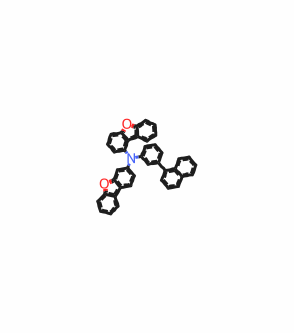 c1cc(-c2cccc3ccccc23)cc(N(c2ccc3c(c2)oc2ccccc23)c2cccc3oc4ccccc4c23)c1